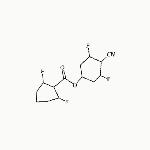 N#CC1C(F)CC(OC(=O)C2C(F)CCCC2F)CC1F